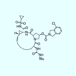 CC(C)(C)NC(=O)N[C@H]1CCCCC/C=C\[C@@H]2C[C@@]2(C(=O)NS(=O)(=O)C2CC2)NC(=O)C2C[C@@H](OC(=O)N3Cc4cccc(Cl)c4C3)CN2C1=O